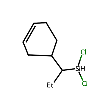 CCC(C1CC=CCC1)[SiH](Cl)Cl